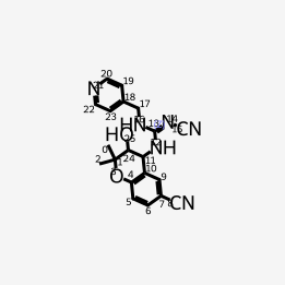 CC1(C)Oc2ccc(C#N)cc2C(N/C(=N\C#N)NCc2ccncc2)C1O